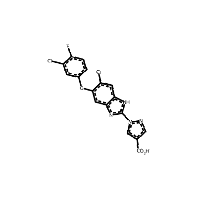 O=C(O)c1cnn(-c2nc3cc(Oc4ccc(F)c(Cl)c4)c(Cl)cc3[nH]2)c1